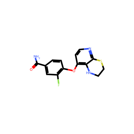 NC(=O)c1ccc(Oc2ccnc3c2NCCS3)c(F)c1